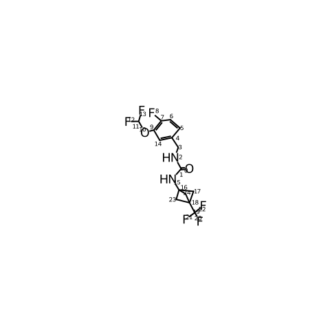 O=C(NCc1ccc(F)c(OC(F)F)c1)NC12CC(C(F)(F)F)(C1)C2